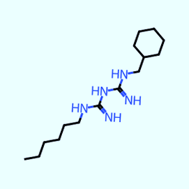 CCCCCCNC(=N)NC(=N)NCC1CCCCC1